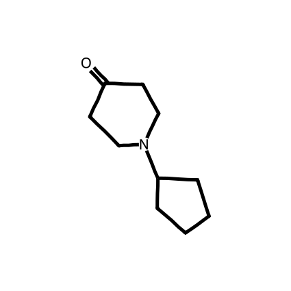 O=C1CCN(C2CCCC2)CC1